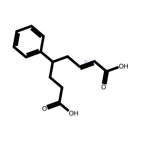 O=C(O)/C=C/CC(CCC(=O)O)c1ccccc1